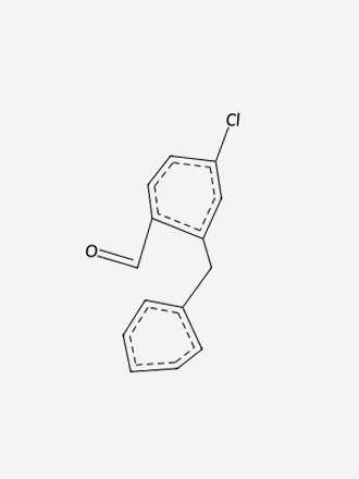 O=Cc1ccc(Cl)cc1Cc1ccccc1